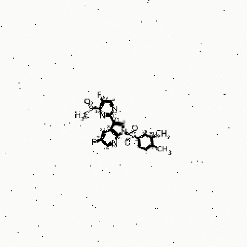 CC1=CC=C(S(=O)(=O)n2cc(-c3ncc(F)c([S+](C)[O-])n3)c3cc(F)cnc32)CC1C